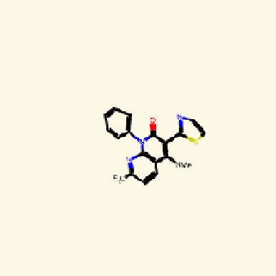 CNc1c(-c2nccs2)c(=O)n(-c2ccccc2)c2nc(C(F)(F)F)ccc12